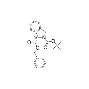 CC(C)(C)OC(=O)N1Cc2ccccc2[C@H]1C(=O)OCc1ccccc1